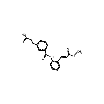 COC(=O)/C=C/c1ccccc1NC(=O)c1cccc(CCC(=O)O)c1